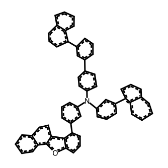 c1cc(-c2ccc(N(c3cccc(-c4cccc5ccccc45)c3)c3cccc(-c4cccc5oc6c7ccccc7ccc6c45)c3)cc2)cc(-c2cccc3ccccc23)c1